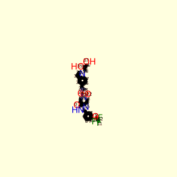 O=C1NC(c2cccc(OC(F)(F)F)c2)=NC12CCN(S(=O)(=O)/C=C/c1ccc3c(ccn3C[C@H](O)CO)c1)CC2